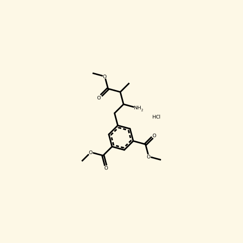 COC(=O)c1cc(CC(N)C(C)C(=O)OC)cc(C(=O)OC)c1.Cl